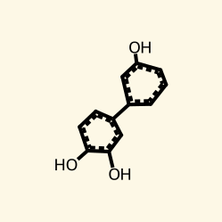 Oc1cccc(-c2ccc(O)c(O)c2)c1